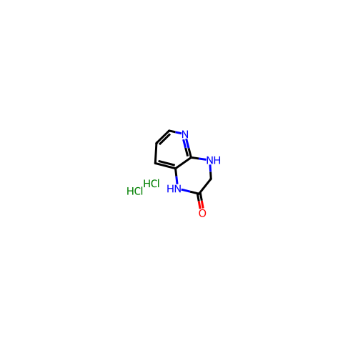 Cl.Cl.O=C1CNc2ncccc2N1